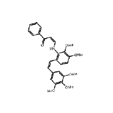 COc1cc(/C=C\c2ccc(OC)c(OC)c2N/C=C\C(=O)c2ccccc2)cc(OC)c1OC